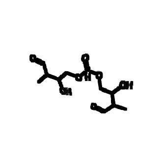 CC(C=O)C(O)CO[PH](=O)OCC(O)C(C)C=O